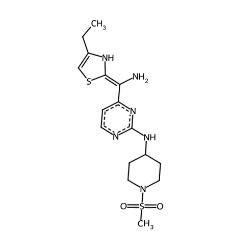 CCC1=CS/C(=C(/N)c2ccnc(NC3CCN(S(C)(=O)=O)CC3)n2)N1